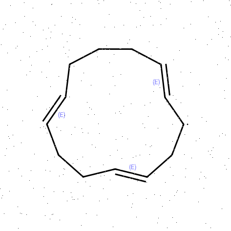 [CH]1/C=C/CCC/C=C/CC/C=C/C1